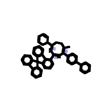 C/C1=C(c2ccc(-c3ccccc3)cc2)/N=C(c2cccc3c2-c2ccccc2C32c3ccccc3-c3ccccc32)\N=C(\C2C=CC=CC2)CC1